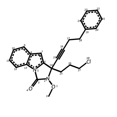 CON1C(=O)n2c(cc3ccccc32)C1(C#CCCc1ccccc1)CCCCl